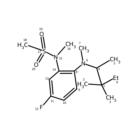 CCC(C)(C)C(C)N(C)c1ccc(F)cc1N(C)S(C)(=O)=O